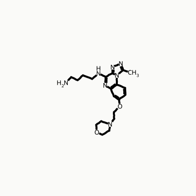 Cc1nnc2c(NCCCCN)nc3cc(OCCN4CCOCC4)ccc3n12